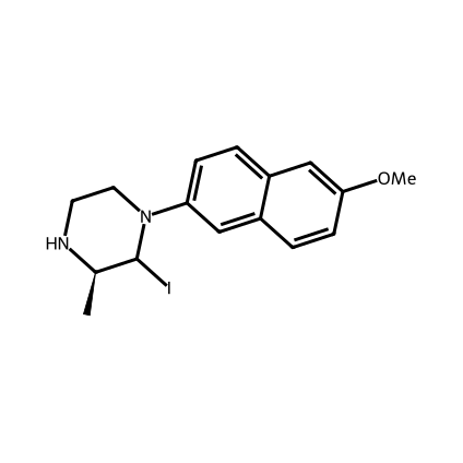 COc1ccc2cc(N3CCN[C@H](C)C3I)ccc2c1